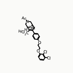 CC(=O)N1CC2CC(c3ccc(OCCOc4cccc(Cl)c4Cl)cc3)=C(C(=O)O)[C@@H](C1)N2